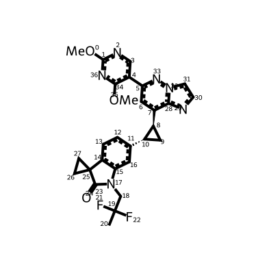 COc1ncc(-c2cc([C@H]3C[C@@H]3c3ccc4c(c3)N(CC(C)(F)F)C(=O)C43CC3)c3nccn3n2)c(OC)n1